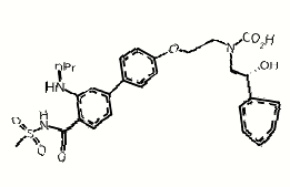 CCCNc1cc(-c2ccc(OCCN(C[C@H](O)c3ccccc3)C(=O)O)cc2)ccc1C(=O)NS(C)(=O)=O